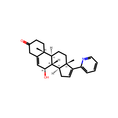 C[C@]12CCC(=O)CC1=C[C@H](O)[C@@H]1[C@@H]2CC[C@]2(C)C(c3ccccn3)=CC[C@@H]12